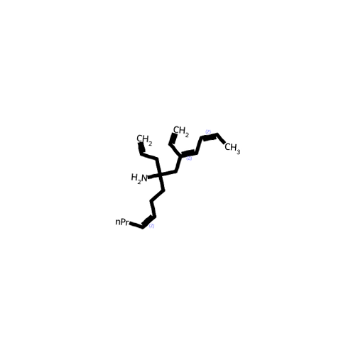 C=CCC(N)(CC/C=C\CCC)C/C(C=C)=C/C=C\C